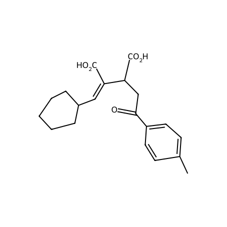 Cc1ccc(C(=O)CC(C(=O)O)C(=CC2CCCCC2)C(=O)O)cc1